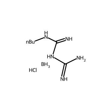 B.CCCCNC(=N)NC(=N)N.Cl